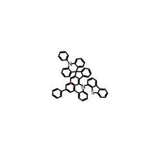 c1ccc(-c2cccc(-c3ccccc3N(c3cccc4c3-c3ccccc3C43c4ccccc4N(c4ccccc4)c4ccccc43)c3cccc4c3sc3ccccc34)c2)cc1